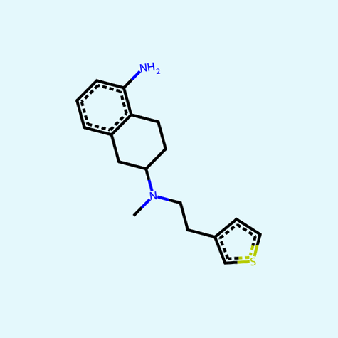 CN(CCc1ccsc1)C1CCc2c(N)cccc2C1